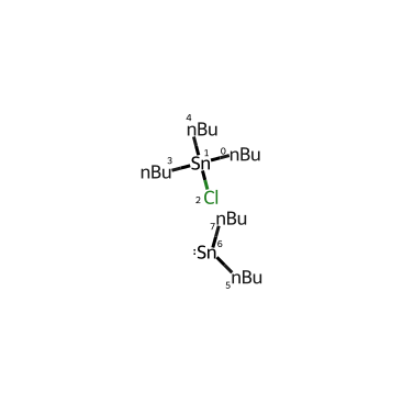 CCC[CH2][Sn]([Cl])([CH2]CCC)[CH2]CCC.CCC[CH2][Sn][CH2]CCC